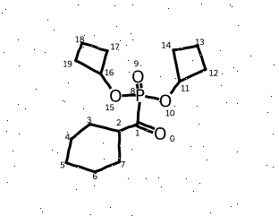 O=C(C1CCCCC1)P(=O)(OC1CCC1)OC1CCC1